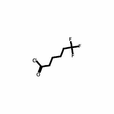 O=C(Cl)CCCCC(F)(F)F